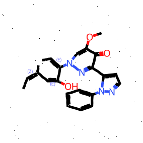 C\C=C(C)/C=C(O)\C(=C/C)n1cc(OC)c(=O)c(-c2ccnn2-c2ccccc2)n1